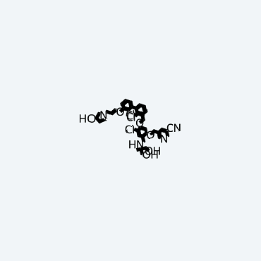 CC(CO)(CO)NCc1cc(Cl)c(OCc2cccc(-c3cccc(OCCCN4CC[C@@H](O)C4)c3Cl)c2Cl)cc1OCc1cncc(C#N)c1